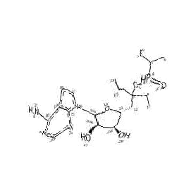 CCC(C)[PH](=O)OC(CC)(CC)C[C@H]1OC(n2ccc3c(N)ncnc32)[C@H](O)[C@@H]1O